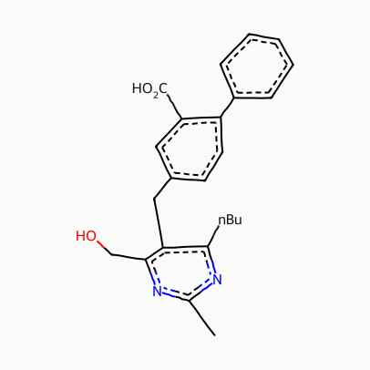 CCCCc1nc(C)nc(CO)c1Cc1ccc(-c2ccccc2)c(C(=O)O)c1